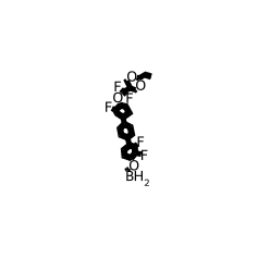 BCOc1ccc(-c2ccc(-c3ccc(OC(F)(F)C4COC(C=C)OC4)c(F)c3)cc2)c(F)c1F